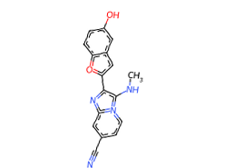 CNc1c(-c2cc3cc(O)ccc3o2)nc2cc(C#N)ccn12